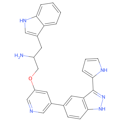 NC(COc1cncc(-c2ccc3[nH]nc(-c4ccc[nH]4)c3c2)c1)Cc1c[nH]c2ccccc12